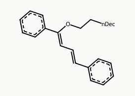 CCCCCCCCCCCCOC(=CC=Cc1ccccc1)c1ccccc1